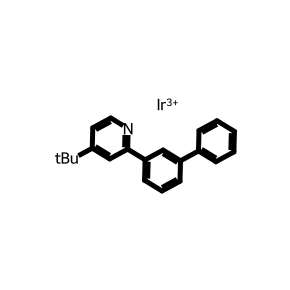 CC(C)(C)c1ccnc(-c2cccc(-c3ccccc3)c2)c1.[Ir+3]